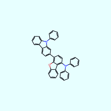 c1ccc(N(c2ccccc2)c2ccc(-c3ccc4c5ccccc5n(-c5ccccc5)c4c3)c3oc4ccccc4c23)cc1